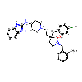 COc1ccccc1CN1CCC(CCN2CCC(Nc3nc4ccccc4[nH]3)CC2)(Cc2ccc(F)cc2)C1=O